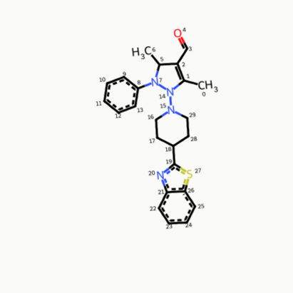 CC1=C(C=O)C(C)N(c2ccccc2)N1N1CCC(c2nc3ccccc3s2)CC1